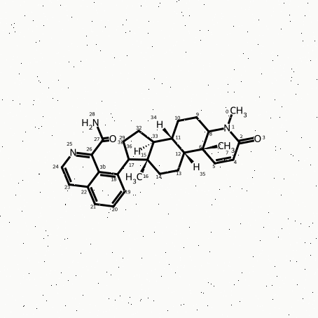 CN1C(=O)C=C[C@@]2(C)C1CC[C@@H]1[C@H]2CC[C@]2(C)C(c3cccc4ccnc(C(N)=O)c34)CC[C@@H]12